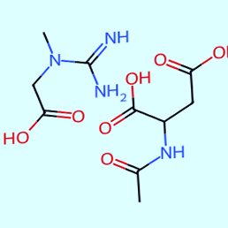 CC(=O)NC(CC(=O)O)C(=O)O.CN(CC(=O)O)C(=N)N